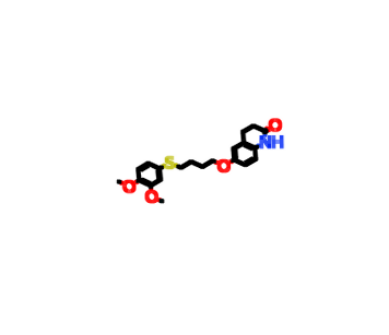 COc1ccc(SCCCCOc2ccc3c(c2)CCC(=O)N3)cc1OC